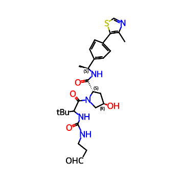 Cc1ncsc1-c1ccc([C@H](C)NC(=O)[C@@H]2C[C@@H](O)CN2C(=O)C(NC(=O)NCCC=O)C(C)(C)C)cc1